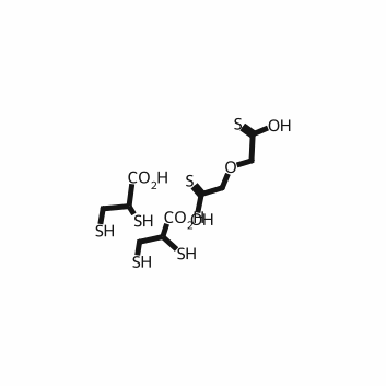 O=C(O)C(S)CS.O=C(O)C(S)CS.OC(=S)COCC(O)=S